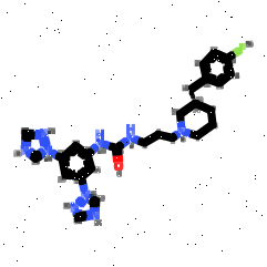 O=C(NCCCN1CCC[C@@H](Cc2ccc(F)cc2)C1)Nc1cc(-n2cncn2)cc(-n2cncn2)c1